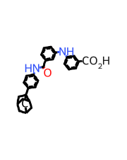 O=C(O)c1cccc(Nc2cccc(C(=O)Nc3ccc(C45CC6CC(CC4C6)C5)cc3)c2)c1